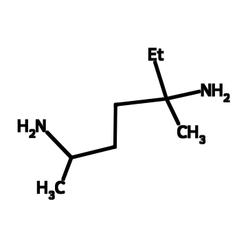 CCC(C)(N)CCC(C)N